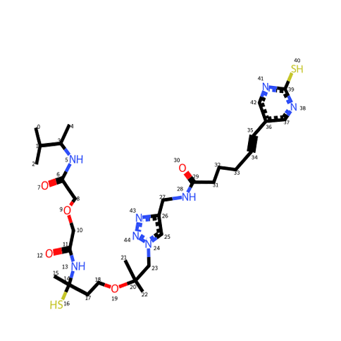 CC(C)C(C)NC(=O)COCC(=O)NC(C)(S)CCOC(C)(C)Cn1cc(CNC(=O)CCCC#Cc2cnc(S)nc2)nn1